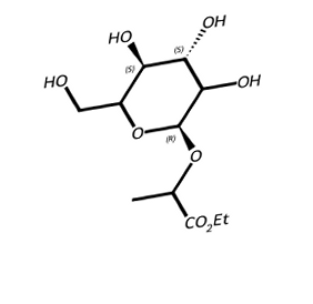 CCOC(=O)C(C)O[C@H]1OC(CO)[C@@H](O)[C@H](O)C1O